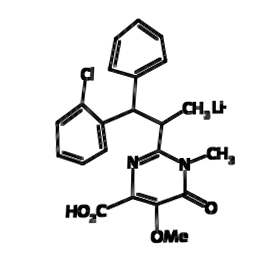 COc1c(C(=O)O)nc(C(C)C(c2ccccc2)c2ccccc2Cl)n(C)c1=O.[Li]